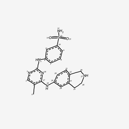 Cc1cnc(Nc2cccc(S(N)(=O)=O)c2)nc1Nc1ccc2c(c1)CCNC2